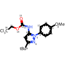 COc1ccc(-n2nc(C(C)(C)C)cc2NC(=O)OCC(Cl)(Cl)Cl)cc1